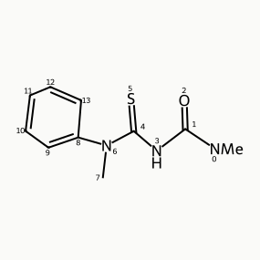 CNC(=O)NC(=S)N(C)c1ccccc1